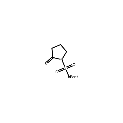 CCCCCS(=O)(=O)N1CCCC1=S